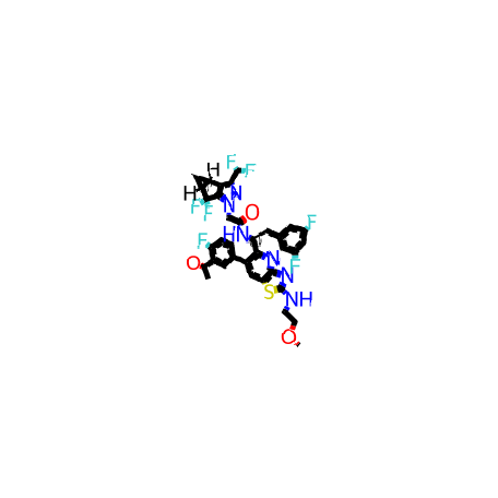 COCCNc1nc2nc([C@H](Cc3cc(F)cc(F)c3)NC(=O)Cn3nc(C(F)F)c4c3C(F)(F)[C@@H]3C[C@H]43)c(-c3ccc(F)c(C(C)=O)c3)cc2s1